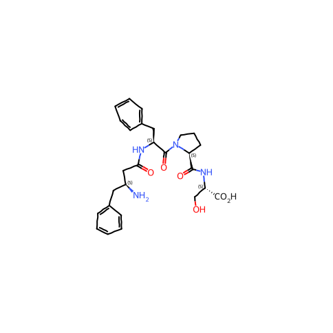 N[C@H](CC(=O)N[C@@H](Cc1ccccc1)C(=O)N1CCC[C@H]1C(=O)N[C@@H](CO)C(=O)O)Cc1ccccc1